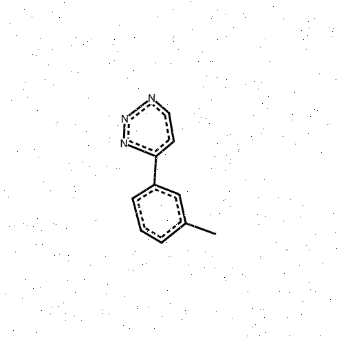 Cc1cccc(-c2ccnnn2)c1